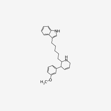 COc1cccc(C2C=CCNC2CCCCCc2c[nH]c3ccccc23)c1